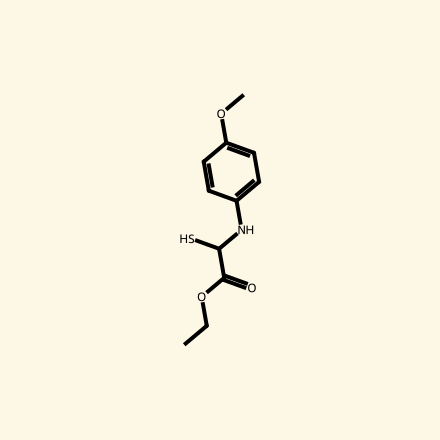 CCOC(=O)C(S)Nc1ccc(OC)cc1